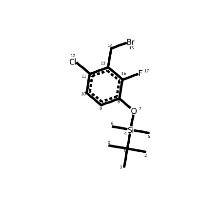 CC(C)(C)[Si](C)(C)Oc1ccc(Cl)c(CBr)c1F